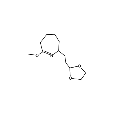 COC1=NC(CCC2OCCO2)CCCC1